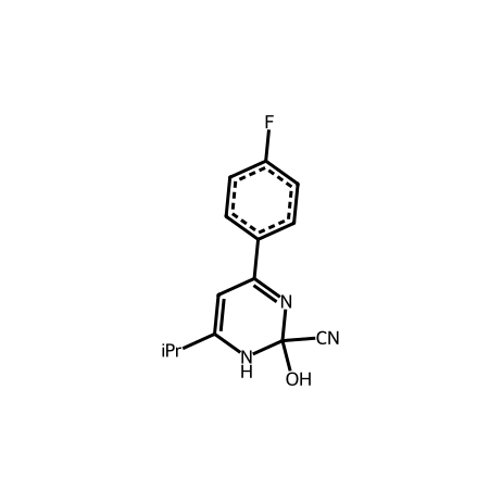 CC(C)C1=CC(c2ccc(F)cc2)=NC(O)(C#N)N1